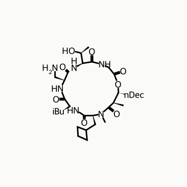 CCCCCCCCCC[C@H]1OC(=O)CNC(=O)[C@H]([C@H](C)O)NC(=O)[C@H](CN)NC(=O)[C@H]([C@H](C)CC)NC(=O)[C@H](CC2CCC2)N(C)C(=O)[C@@H]1C